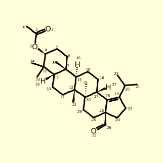 CC(=O)O[C@H]1CC[C@@]2(C)[C@H](CC[C@]3(C)[C@@H]2CC[C@@H]2C4=C(C(C)C)CC[C@]4(C=O)CC[C@]23C)C1(C)C